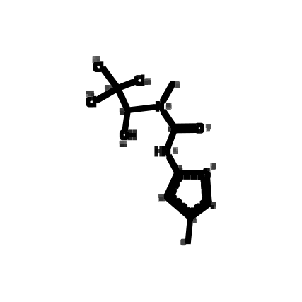 Cc1csc(NC(=O)N(C)C(O)C(Cl)(Cl)Cl)c1